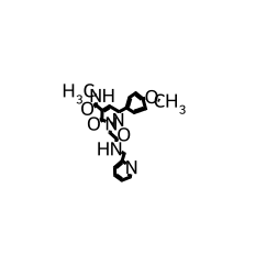 CNC(=O)c1cc(-c2ccc(OC)cc2)nn(CC(=O)NCc2ccccn2)c1=O